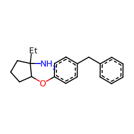 CCC1(N)CCCC1Oc1ccc(Cc2ccccc2)cc1